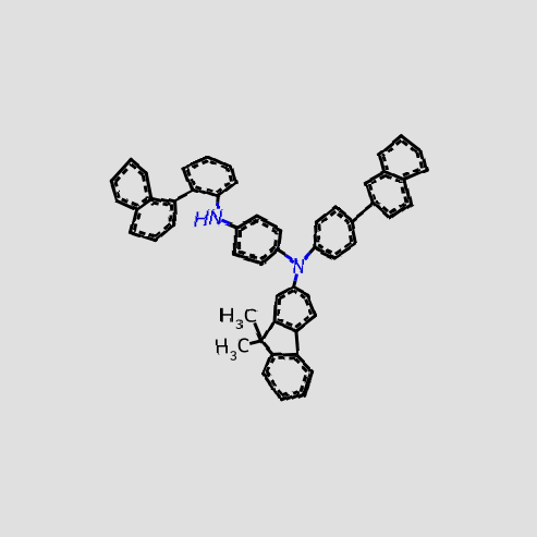 CC1(C)c2ccccc2-c2ccc(N(c3ccc(Nc4ccccc4-c4cccc5ccccc45)cc3)c3ccc(-c4ccc5ccccc5c4)cc3)cc21